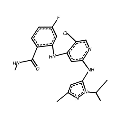 CNC(=O)c1ccc(F)cc1Nc1cc(Nc2cc(C)nn2C(C)C)ncc1Cl